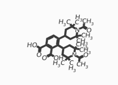 CC(=O)N1C(C)(C)CC(c2ccc(C(=O)O)c(C(=O)O)c2C2CC(C)(C)N(C(C)=O)C(C)(C)C2)CC1(C)C